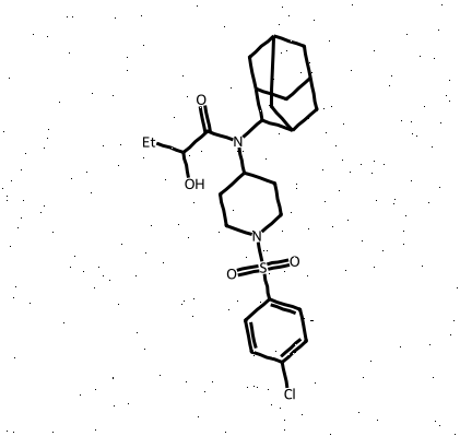 CCC(O)C(=O)N(C1CCN(S(=O)(=O)c2ccc(Cl)cc2)CC1)C1C2CC3CC(C2)CC1C3